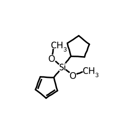 CO[Si](OC)(C1C=CC=C1)C1CCCC1